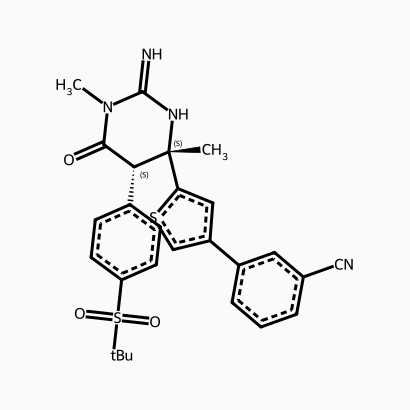 CN1C(=N)N[C@](C)(c2cc(-c3cccc(C#N)c3)cs2)[C@H](c2ccc(S(=O)(=O)C(C)(C)C)cc2)C1=O